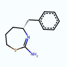 NC1=N[C@@H](Cc2ccccc2)CCCS1